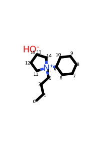 CCCC[N+]1(C2CCCCC2)CCCC1.[OH-]